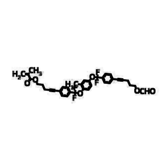 C=C(C)C(=O)OCCCC#Cc1ccc(C(F)(F)Oc2ccc(OC(F)(F)c3ccc(C#CCCCOC=O)cc3)cc2C)cc1